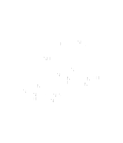 Cn1cc(-c2nc3c(-c4ccc(CN)c(F)c4)ccnc3[nH]2)cn1.Cn1cc(-c2nc3c(-c4ccc(CN)c(F)c4)ccnc3[nH]2)cn1